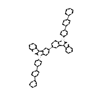 c1ccc(-c2ccc(-c3ccc(-n4c5ccc(-c6ccc7c(c6)c6c8ccccc8sc6n7-c6ccc(-c7ccc(-c8ccccc8)cc7)cc6)cc5c5c6ccccc6sc54)cc3)cc2)cc1